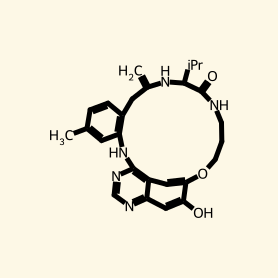 C=C1Cc2ccc(C)cc2Nc2ncnc3cc(O)c(cc23)OCCCNC(=O)C(C(C)C)N1